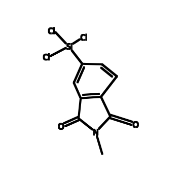 CN1C(=O)c2ccc([Si](Cl)(Cl)Cl)cc2C1=O